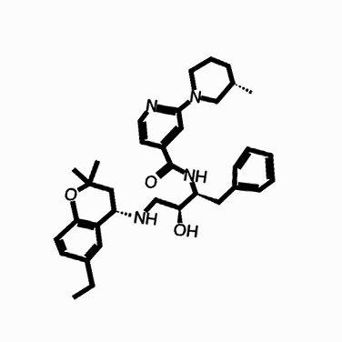 CCc1ccc2c(c1)[C@@H](NC[C@H](O)[C@H](Cc1ccccc1)NC(=O)c1ccnc(N3CCC[C@H](C)C3)c1)CC(C)(C)O2